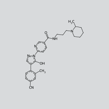 Cc1cc(C#N)ccc1-c1cnn(-c2ccc(C(=O)NCCCN3CCCCC3C)cn2)c1O